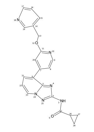 O=C(Nc1nc2c(-c3ccnc(OCc4cccnc4)c3)cccn2n1)C1CC1